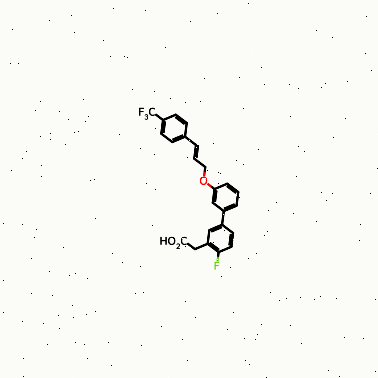 O=C(O)Cc1cc(-c2cccc(OC/C=C/c3ccc(C(F)(F)F)cc3)c2)ccc1F